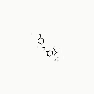 CCC(O)(c1cccc(OC(=O)Nc2ccc(C(C)C)cc2)c1)C(C)CN(C)C